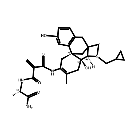 C=C(C(=O)NC1=C(C)C[C@@]2(O)[C@@H]3N(CC4CC4)CC34Cc3ccc(O)cc3[C@]2(C1)C4)C(=O)N[C@@H](C)C(N)=O